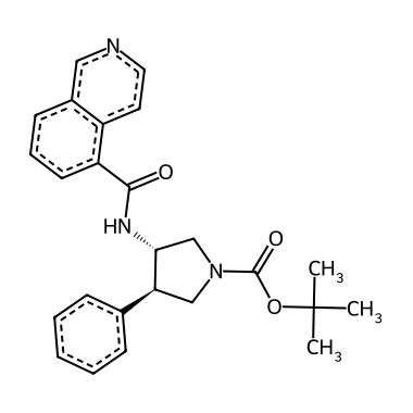 CC(C)(C)OC(=O)N1C[C@@H](NC(=O)c2cccc3cnccc23)[C@H](c2ccccc2)C1